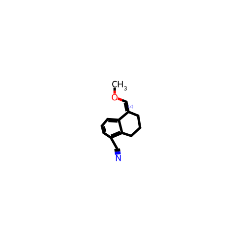 CO/C=C1/CCCc2c(C#N)cccc21